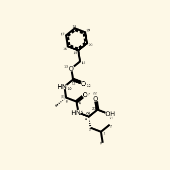 CC(C)C[C@H](NC(=O)[C@H](C)NC(=O)OCc1ccccc1)C(=O)O